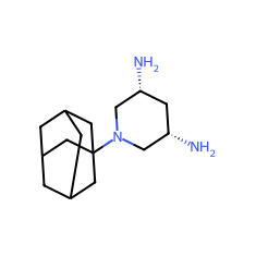 N[C@@H]1C[C@H](N)CN(C23CC4CC(CC(C4)C2)C3)C1